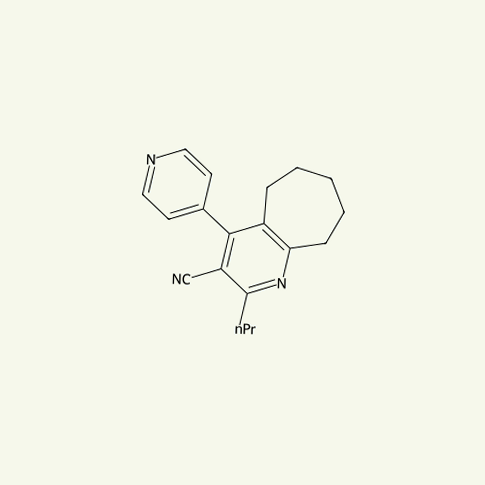 CCCc1nc2c(c(-c3ccncc3)c1C#N)CCCCC2